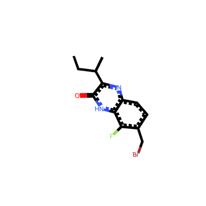 CCC(C)c1nc2ccc(CBr)c(F)c2[nH]c1=O